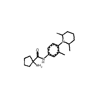 Cc1cc(NC(=O)C2(N)CCCC2)ccc1N1C(C)CCCC1C